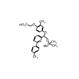 Cc1cc(OC(CO[Si](C)(C)C(C)(C)C)c2cccc(-c3ccc(C(F)(F)F)cc3)n2)ccc1OCC(=O)O